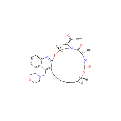 COC(=O)[C@@H]1C[C@@H]2CN1C(=O)[C@H](C(C)(C)C)NC(=O)O[C@@H]1CC1CCCCCc1c(nc3ccccc3c1CN1CCOCC1)O2